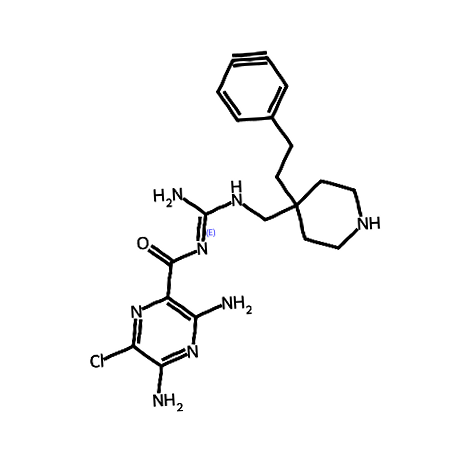 N/C(=N\C(=O)c1nc(Cl)c(N)nc1N)NCC1(CCc2cc#ccc2)CCNCC1